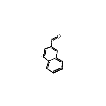 O=Cc1c[c]c2ccccc2c1